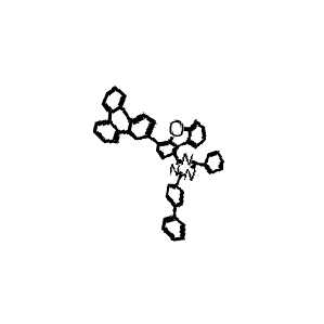 c1ccc(-c2ccc(-c3nc(-c4ccccc4)nc(-c4ccc(-c5ccc6c7ccccc7c7ccccc7c6c5)c5oc6ccccc6c45)n3)cc2)cc1